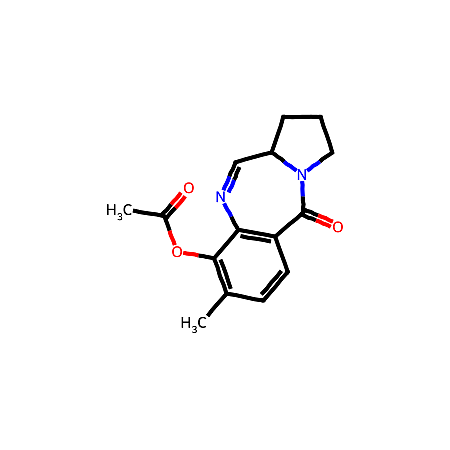 CC(=O)Oc1c(C)ccc2c1N=CC1CCCN1C2=O